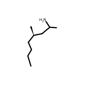 CCCC[C@@H](C)CC(C)N